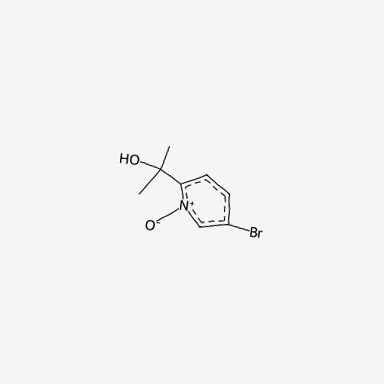 CC(C)(O)c1ccc(Br)c[n+]1[O-]